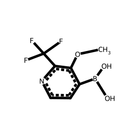 COc1c(B(O)O)ccnc1C(F)(F)F